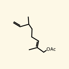 C=CC(C)CCC=C(C)COC(C)=O